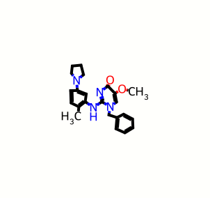 COc1cn(Cc2ccccc2)c(Nc2cc(N3CCCC3)ccc2C)nc1=O